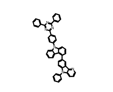 c1ccc(-c2nc(-c3ccccc3)nc(-c3ccc(-n4c5ccccc5c5c(-c6ccc7c(c6)c6ncccc6n7-c6ccccc6)cccc54)cc3)n2)cc1